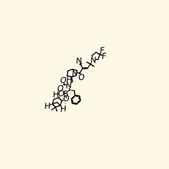 CC1(C)[C@@H]2C[C@H]3OB([C@H](Cc4ccccc4)N(CC45CCC(CC4)N5C(=O)C(C#N)=CC(C)(C)N4CCC(F)(F)C4)C(=O)O)O[C@@]3(C)[C@H]1C2